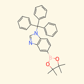 CC1(C)OB(c2ccc3c(c2)ncn3C(c2ccccc2)(c2ccccc2)c2ccccc2)OC1(C)C